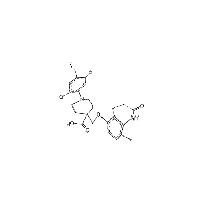 O=C1CCc2c(OCC3(C(=O)O)CCN(c4cc(Cl)c(F)cc4Cl)CC3)ccc(F)c2N1